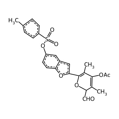 CC(=O)OC1=C(C)C(C=O)OC(c2cc3cc(OS(=O)(=O)c4ccc(C)cc4)ccc3o2)=C1C